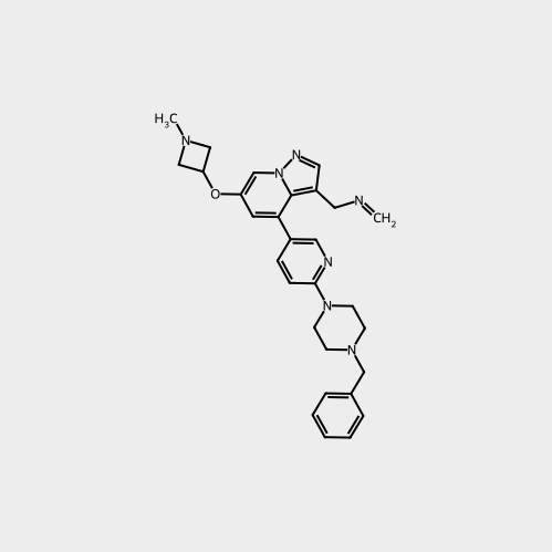 C=NCc1cnn2cc(OC3CN(C)C3)cc(-c3ccc(N4CCN(Cc5ccccc5)CC4)nc3)c12